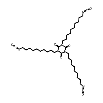 O=C=NCCCCCCCCCCn1c(=O)n(CCCCCCCCCCN=C=O)c(=O)n(CCCCCCCCCCN=C=O)c1=O